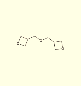 C1OCC1COCC1COC1